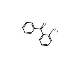 O=C(c1ccccc1)c1ccccc1P